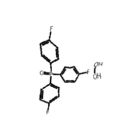 O=P(c1ccc(F)cc1)(c1ccc(F)cc1)c1ccc(F)cc1.OO